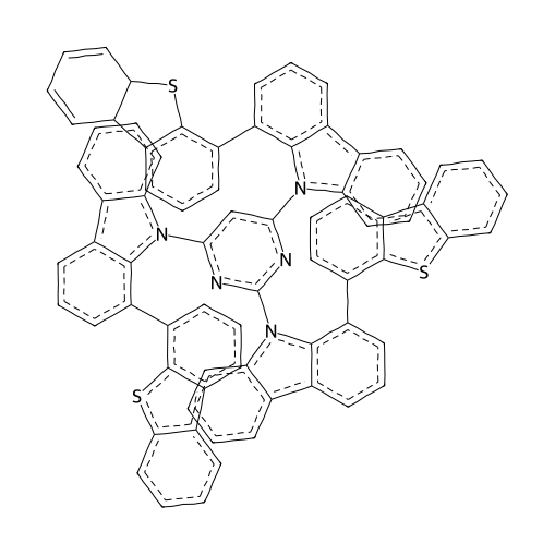 C1=CC2Sc3c(-c4cccc5c6ccccc6n(-c6cc(-n7c8ccccc8c8cccc(-c9cccc%10c9sc9ccccc9%10)c87)nc(-n7c8ccccc8c8cccc(-c9cccc%10c9sc9ccccc9%10)c87)n6)c45)cccc3C2C=C1